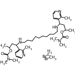 CBr.CBr.Cc1ncccc1C(CC(C)OC(=O)N(C)C)NCCCCCCCCCCNC(CC(C)OC(=O)N(C)C)c1cccnc1C